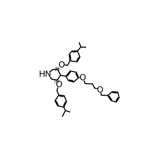 CC(C)c1ccc(CO[C@H]2CNC[C@@H](OCc3ccc(C(C)C)cc3)C2c2ccc(OCCCOCc3ccccc3)cc2)cc1